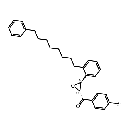 O=C(c1ccc(Br)cc1)[C@@H]1O[C@H]1c1ccccc1CCCCCCCCc1ccccc1